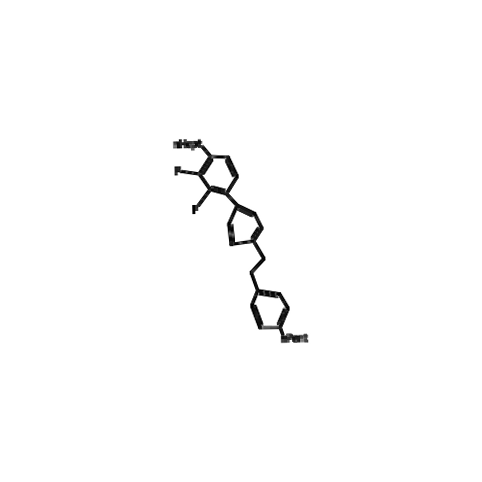 CCCCCCCc1ccc(-c2ccc(CCc3ccc(CCCCC)cc3)cc2)c(F)c1F